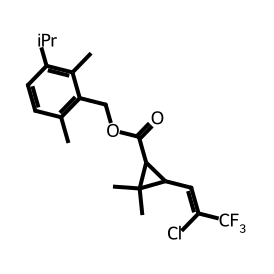 Cc1ccc(C(C)C)c(C)c1COC(=O)C1C(C=C(Cl)C(F)(F)F)C1(C)C